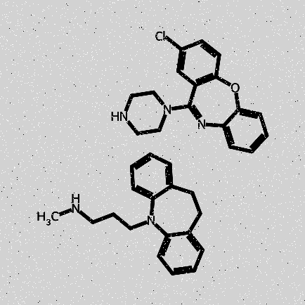 CNCCCN1c2ccccc2CCc2ccccc21.Clc1ccc2c(c1)C(N1CCNCC1)=Nc1ccccc1O2